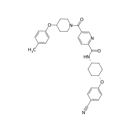 Cc1ccc(OC2CCN(C(=O)c3ccc(C(=O)N[C@H]4CC[C@@H](Oc5ccc(C#N)cc5)CC4)nc3)CC2)cc1